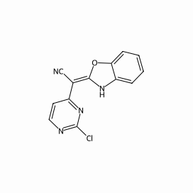 N#CC(=C1Nc2ccccc2O1)c1ccnc(Cl)n1